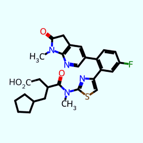 CN(C(=O)C(CC(=O)O)CC1CCCC1)c1nc(-c2cc(F)ccc2-c2cnc3c(c2)CC(=O)N3C)cs1